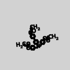 C=CC(=O)Oc1ccc(CN(Cc2ccc(OC(=O)C=C)cc2)c2ccc(-c3ccc(OC(=O)C=C)cc3)cc2)cc1